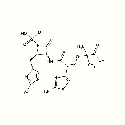 Cc1nnn(C[C@@H]2[C@H](NC(=O)/C(=N\OC(C)(C)C(=O)O)c3csc(N)n3)C(=O)N2S(=O)(=O)O)n1